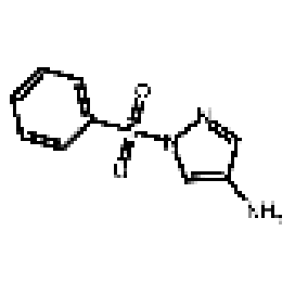 Nc1cnn(S(=O)(=O)c2ccccc2)c1